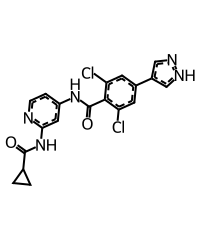 O=C(Nc1ccnc(NC(=O)C2CC2)c1)c1c(Cl)cc(-c2cn[nH]c2)cc1Cl